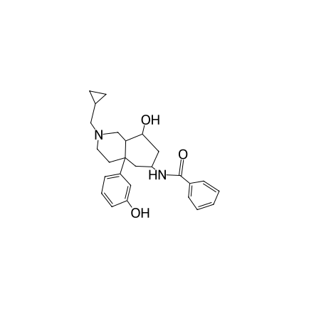 O=C(NC1CC(O)C2CN(CC3CC3)CCC2(c2cccc(O)c2)C1)c1ccccc1